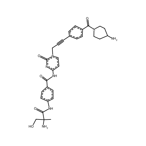 CC(N)(CO)C(=O)Nc1ccc(C(=O)Nc2ccn(CC#Cc3ccc(C(=O)N4CCC(N)CC4)cc3)c(=O)n2)cc1